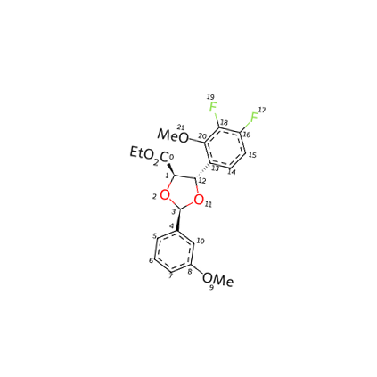 CCOC(=O)[C@@H]1O[C@H](c2cccc(OC)c2)O[C@H]1c1ccc(F)c(F)c1OC